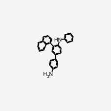 Nc1ccc(-c2ccc(Nc3ccccc3)c(-c3cccc4ccccc34)c2)cc1